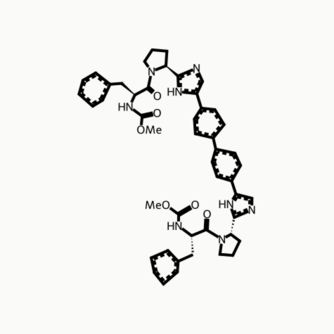 COC(=O)N[C@@H](Cc1ccccc1)C(=O)N1CCC[C@H]1c1ncc(-c2ccc(-c3ccc(-c4cnc([C@@H]5CCCN5C(=O)[C@H](Cc5ccccc5)NC(=O)OC)[nH]4)cc3)cc2)[nH]1